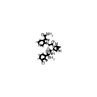 BC(B)(NC(=O)[C@@H]1C[C@H]2C[C@H]2N1C(=O)Cn1nc(C(N)=O)c2ccncc21)c1cccc(Cl)c1F